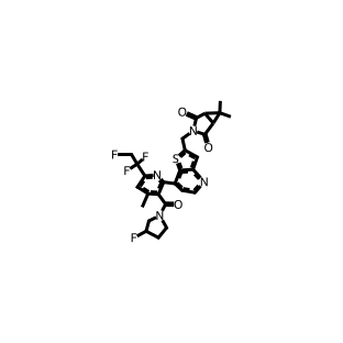 Cc1cc(C(F)(F)CF)nc(-c2ccnc3cc(CN4C(=O)C5C(C4=O)C5(C)C)sc23)c1C(=O)N1CCC(F)C1